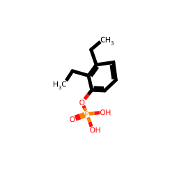 CCc1cccc(OP(=O)(O)O)c1CC